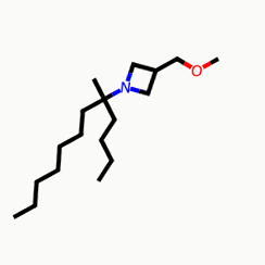 CCCCCCCC(C)(CCCC)N1CC(COC)C1